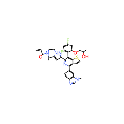 C=CC(=O)N1CCn2nc(-c3nc(-c4ccc5ncn(C)c5c4)c4ccsc4c3-c3c(F)cc(F)cc3OCC(C)O)cc2C1C